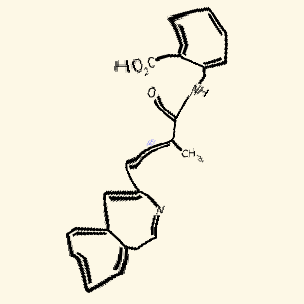 C/C(=C\c1cc2ccccc2cn1)C(=O)Nc1ccccc1C(=O)O